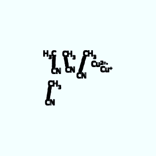 CC#N.CC#N.CC#N.CC#N.[Cu+2].[Cu+]